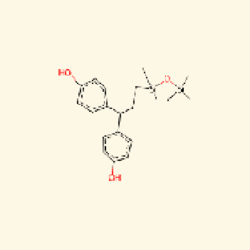 C[Si](C)(C)O[Si](C)(C)CCC(c1ccc(O)cc1)c1ccc(O)cc1